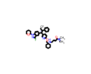 CN(C)C(=O)C=CCNC1(COc2ccc(/C(=C(/CC(F)(F)F)c3ccccc3)c3ccc4c(c3)c(F)nn4C3CCCCO3)cn2)CCCCC1